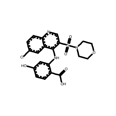 O=C(O)c1ccc(O)cc1Nc1c(S(=O)(=O)N2CCOCC2)cnc2ccc(Cl)cc12